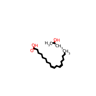 CC(C)O.CCCCC/C=C\C/C=C\CCCCCCCC(=O)O